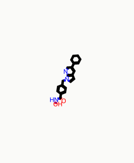 O=C(NO)c1ccc(Cn2ccc3cc(C4=CCCCC4)cnc32)cc1